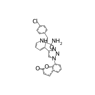 NC(=O)C1(Cc2ccc(Cl)cc2)NC=CC=C1c1cn(-c2cccc3ccc(=O)oc23)nn1